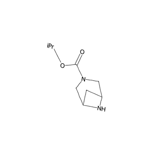 CC(C)OC(=O)N1CC2CC(C1)N2